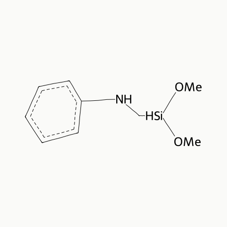 CO[SiH](CNc1ccccc1)OC